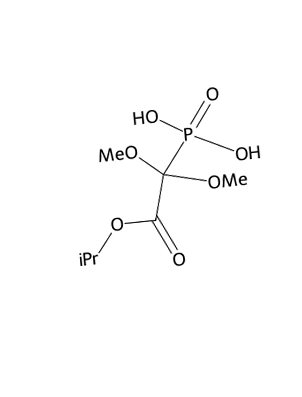 COC(OC)(C(=O)OC(C)C)P(=O)(O)O